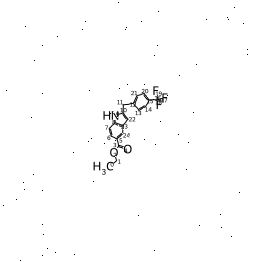 CCOC(=O)c1ccc2[nH]c(Cc3ccc(C(F)(F)F)cc3)cc2c1